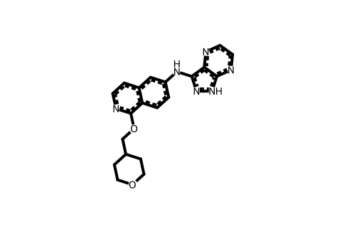 c1cc2cc(Nc3n[nH]c4nccnc34)ccc2c(OCC2CCOCC2)n1